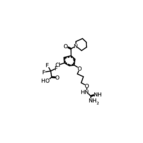 N=C(N)NOCCCOc1cc(Cl)cc(C(=O)N2CCCCC2)c1.O=C(O)C(F)(F)F